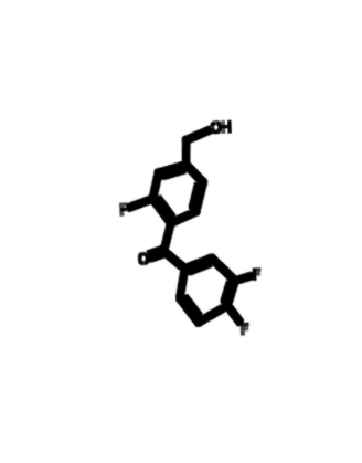 O=C(c1ccc(F)c(F)c1)c1ccc(CO)cc1F